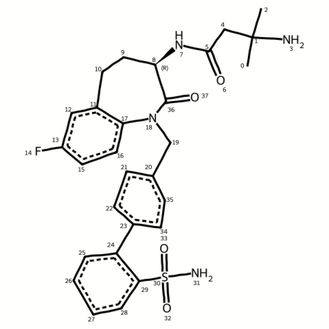 CC(C)(N)CC(=O)N[C@@H]1CCc2cc(F)ccc2N(Cc2ccc(-c3ccccc3S(N)(=O)=O)cc2)C1=O